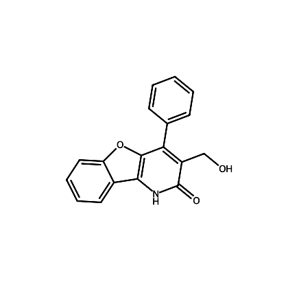 O=c1[nH]c2c(oc3ccccc32)c(-c2ccccc2)c1CO